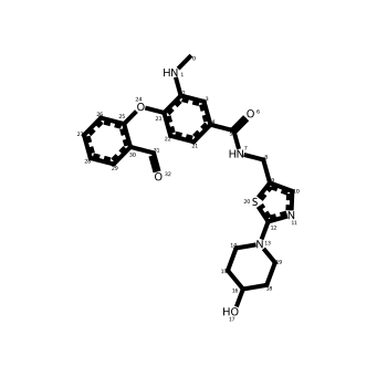 CNc1cc(C(=O)NCc2cnc(N3CCC(O)CC3)s2)ccc1Oc1ccccc1C=O